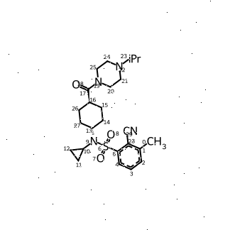 Cc1cccc(S(=O)(=O)N(C2CC2)[C@H]2CC[C@H](C(=O)N3CCN(C(C)C)CC3)CC2)c1C#N